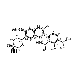 COc1cc2nc(C)nc(N[C@H](C)c3cccc(C(F)F)c3F)c2cc1C1CCS(=N)(=O)CC1